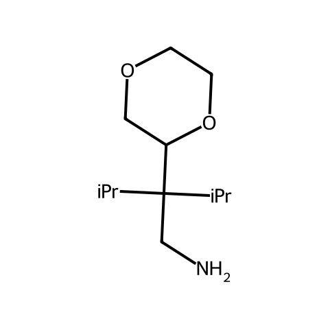 CC(C)C(CN)(C(C)C)C1COCCO1